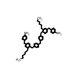 CCCCCCc1cc(Cc2ccc(N)cc2)ccc1Cc1ccc(Cc2ccc(Cc3ccc(Cc4ccc(N)cc4)cc3CCCCCC)cc2)cc1